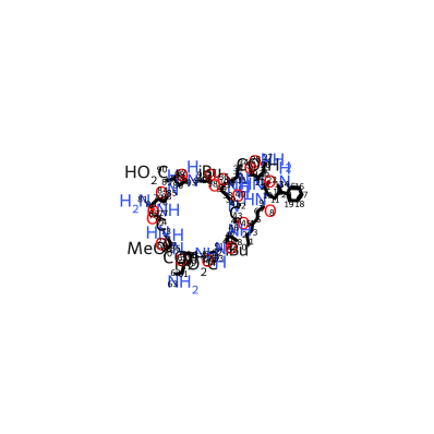 CCC(C)CCCCCCC(=O)NC(Cc1c[nH]c2ccccc12)C(=O)NC(CC(N)=O)C(=O)NC(CC(=O)O)C(=O)NC1C(=O)N(C)CC(=O)NC(C)C(=O)NC(CC(=O)O)C(=O)NC(CCCCN)C(=O)NC(C(OC)C(=O)O)C(=O)NCC(=O)NC(CC(N)=O)C(=O)NC(C(C)CC(=O)O)C(=O)NC(C(C)CC)C(=O)OC1C